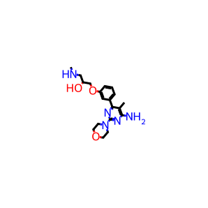 CNCC(O)COc1cccc(-c2nc(N3CCOCC3)nc(N)c2C)c1